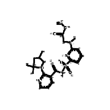 CC1CN(c2ncccc2C(=O)NS(=O)(=O)c2cccc(N(C)CC(=O)OC(C)(C)C)n2)C(C)(C)C1